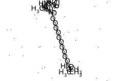 Cc1nc(Nc2ncc(C(=O)Nc3c(C)cccc3Cl)s2)cc(N2CCN(C(=O)CCOCCOCCOCCOCCOCCOCCOCCOCCOCCOCCNC(=O)OC(C)(C)C)CC2)n1